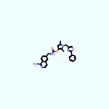 Cc1cc(OC(=O)NCc2ccc3c(N)nccc3c2)c(C)n1Cc1csc(-c2ccccc2)n1